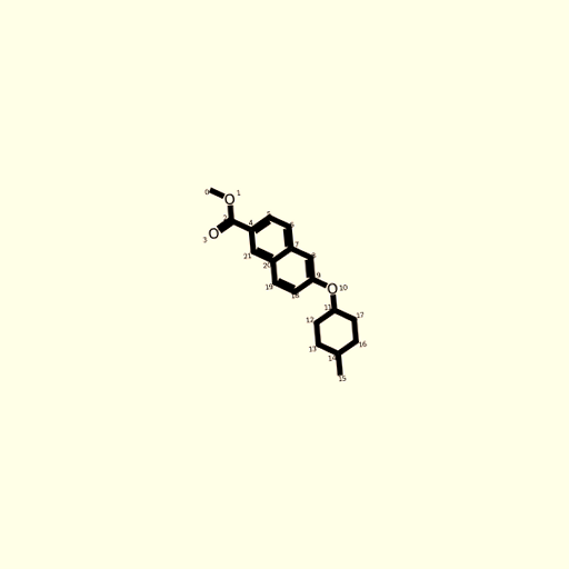 COC(=O)c1ccc2cc(OC3CCC(C)CC3)ccc2c1